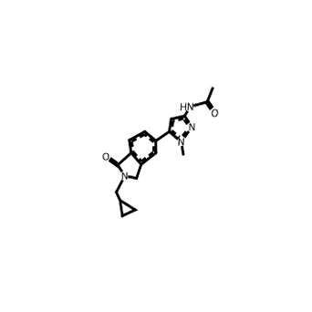 CC(=O)Nc1cc(-c2ccc3c(c2)CN(CC2CC2)C3=O)n(C)n1